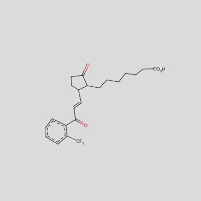 O=C(O)CCCCCCC1C(=O)CCC1/C=C/C(=O)c1ccccc1C(F)(F)F